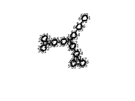 c1ccc(-c2ccc(-c3ccc(N(c4ccc(-c5ccc(-n6c7ccccc7c7ccccc76)cc5)cc4)c4ccc(-c5ccc6c(c5)c5cccc7c8ccccc8n6c75)cc4)cc3)cc2)cc1